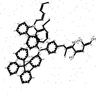 C/C=C\C=C/CN(C1=C(CC)C=CCC=C1)c1ccccc1-c1ccc(N(c2ccc(C/C(C)=C(O)/C(O)=C\C(O)=C\O)cc2)c2ccc3c(c2)C(c2ccccc2)(c2ccccc2)c2ccccc2-3)cc1